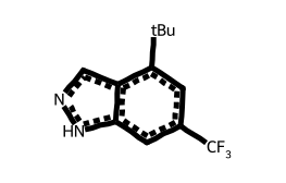 CC(C)(C)c1cc(C(F)(F)F)cc2[nH]ncc12